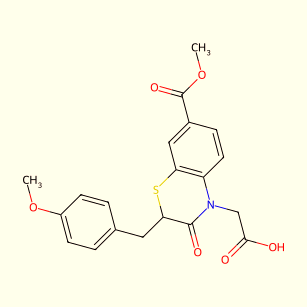 COC(=O)c1ccc2c(c1)SC(Cc1ccc(OC)cc1)C(=O)N2CC(=O)O